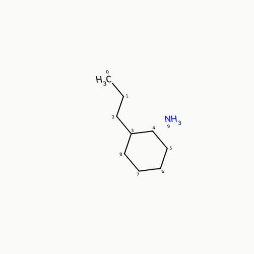 CCCC1CCCCC1.N